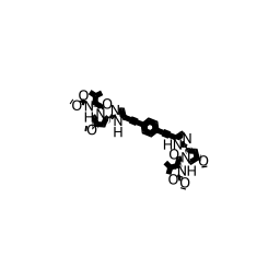 COC(=O)N[C@H](C(=O)N1C[C@@H](OC)C[C@H]1c1ncc(C#Cc2ccc(C#Cc3cnc([C@@H]4C[C@H](OC)CN4C(=O)[C@@H](NC(=O)OC)C(C)C)[nH]3)cc2)[nH]1)C(C)C